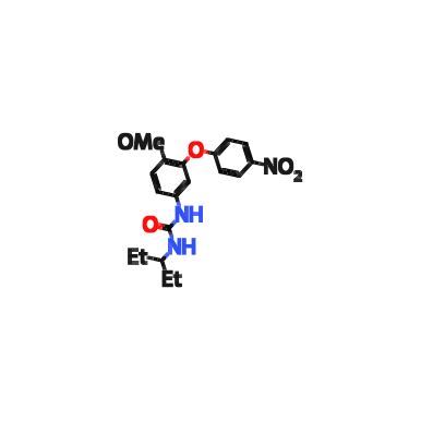 CCC(CC)NC(=O)Nc1ccc(OC)c(Oc2ccc([N+](=O)[O-])cc2)c1